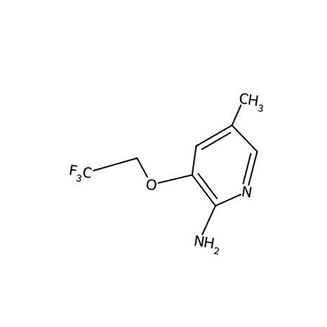 Cc1cnc(N)c(OCC(F)(F)F)c1